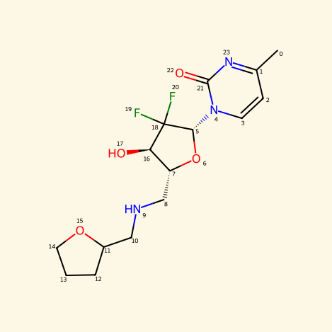 Cc1ccn([C@@H]2O[C@H](CNCC3CCCO3)[C@@H](O)C2(F)F)c(=O)n1